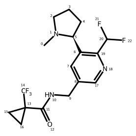 CN1CCC[C@H]1c1cc(CNC(=O)C2(C(F)(F)F)CC2)cnc1C(F)F